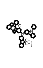 CC1(C)c2ccccc2-c2ccc(N(c3ccc4c(c3)Oc3ccccc3C43c4ccccc4-c4cccc5cccc3c45)c3ccc4c(c3)c3ccccc3n4-c3ccccc3)cc21